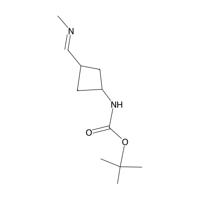 C/N=C/C1CC(NC(=O)OC(C)(C)C)C1